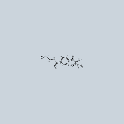 CS(=O)(=O)Nc1ccc(C(=O)CCCCl)cc1